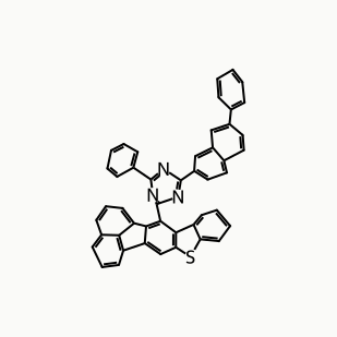 c1ccc(-c2ccc3ccc(-c4nc(-c5ccccc5)nc(-c5c6c(cc7sc8ccccc8c57)-c5cccc7cccc-6c57)n4)cc3c2)cc1